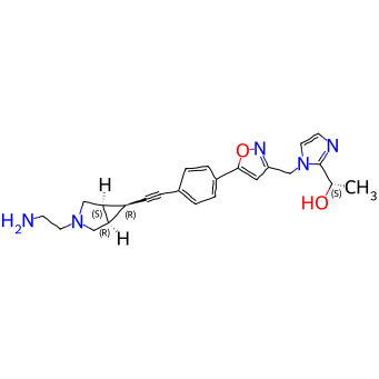 C[C@H](O)c1nccn1Cc1cc(-c2ccc(C#C[C@H]3[C@H]4CN(CCN)C[C@@H]34)cc2)on1